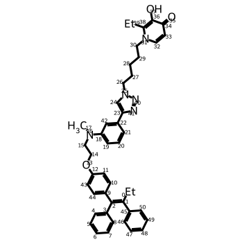 CCC(=C(c1ccccc1)c1ccc(OCCN(C)c2cccc(-c3cn(CCCCCn4ccc(=O)c(O)c4CC)nn3)c2)cc1)c1ccccc1